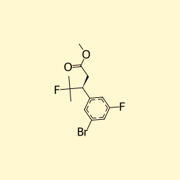 COC(=O)C[C@@H](c1cc(F)cc(Br)c1)C(C)(C)F